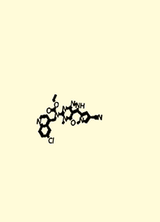 CCOC(=O)N(Cc1ccnc2ccc(Cl)cc12)c1nc2n[nH]c(-c3cc(C#N)cn3C)c2c(=O)n1C